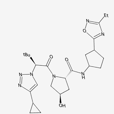 CCc1noc(C2CCC(NC(=O)[C@@H]3C[C@@H](O)CN3C(=O)[C@@H](n3cc(C4CC4)nn3)C(C)(C)C)C2)n1